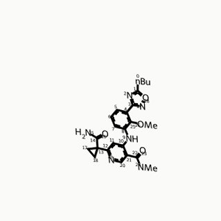 CCCCc1nc(-c2cccc(Nc3cc(C4(C(N)=O)CC4)ncc3C(=O)NC)c2OC)no1